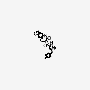 Cc1ccc(Cc2cc(C(=O)N[C@H]3COc4cc5occc5cc4N(C)C3=O)nn2C)cc1